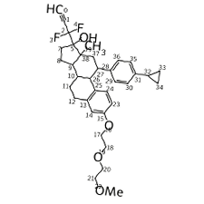 C#CC(F)(F)C1(O)CCC2C3CCc4cc(OCCOCCOC)ccc4C3C(c3ccc(C4CC4)cc3)CC21C